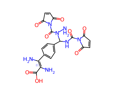 N/C(C(=O)O)=C(/N)c1ccc(C(NC(=O)N2C(=O)C=CC2=O)N(N)C(=O)N2C(=O)C=CC2=O)cc1